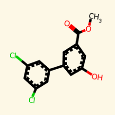 COC(=O)c1cc(O)cc(-c2cc(Cl)cc(Cl)c2)c1